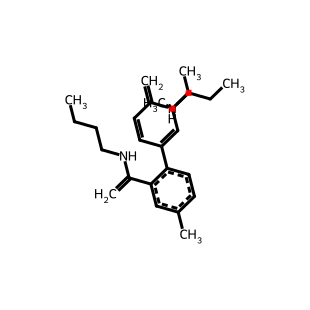 C=C(/C=C\C(=C/C(C)CC)c1ccc(C)cc1C(=C)NCCCC)NCCC